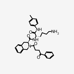 Cc1ccc(NC(=O)[C@H](CCCCN)NC(=O)[C@@H]2Cc3ccccc3CN2C(=O)CCC(=O)c2ccccc2)cc1